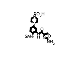 CSc1ccc(N2CCN(C(=O)O)CC2)cc1NC(=O)c1coc(N)n1